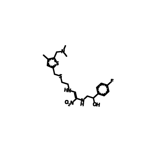 Cc1cc(CSCCNC=C(NCC(O)c2ccc(F)cc2)[N+](=O)[O-])sc1CN(C)C